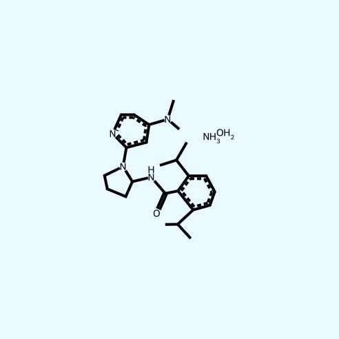 CC(C)c1cccc(C(C)C)c1C(=O)NC1CCCN1c1cc(N(C)C)ccn1.N.O